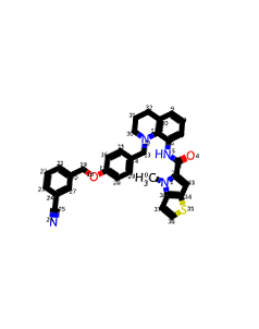 Cn1c(C(=O)Nc2cccc3c2N(Cc2ccc(OCc4cccc(C#N)c4)cc2)CCC3)cc2sccc21